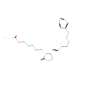 COC(=O)CCCCCCN1C(=O)CC[C@@H]1C=C[C@@H](O)[C@@H](C)CCCc1ccccc1